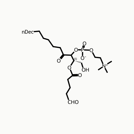 CCCCCCCCCCCCCCCC(=O)C(OP(=O)([O-])OCC[N+](C)(C)C)[C@H](CO)OC(=O)CCCC=O